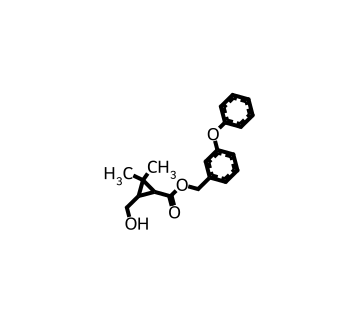 CC1(C)C(CO)C1C(=O)OCc1cccc(Oc2ccccc2)c1